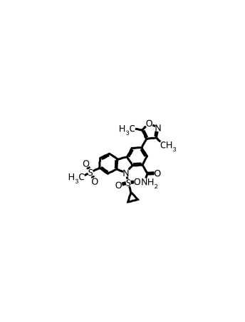 Cc1noc(C)c1-c1cc(C(N)=O)c2c(c1)c1ccc(S(C)(=O)=O)cc1n2S(=O)(=O)C1CC1